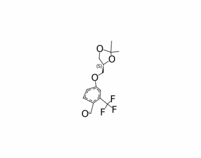 CC1(C)OC[C@H](COc2ccc(C=O)c(C(F)(F)F)c2)O1